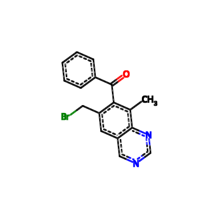 Cc1c(C(=O)c2ccccc2)c(CBr)cc2cncnc12